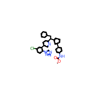 COC(=O)Nc1ccc(-c2cccc(C(Cc3ccccc3)c3ccc(-c4cc(Cl)ccc4-n4cnnn4)cn3)c2)cc1